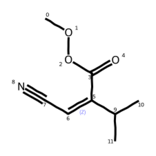 COOC(=O)/C(=C\C#N)C(C)C